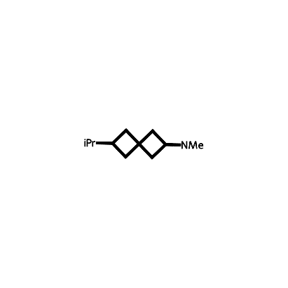 CNC1CC2(C1)CC(C(C)C)C2